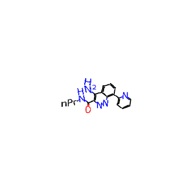 CCCNC(=O)c1nnc2c(-c3ccccn3)cccc2c1N